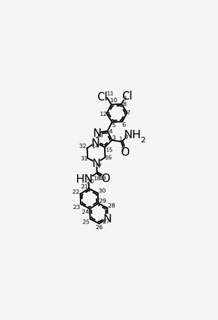 NC(=O)c1c(-c2ccc(Cl)c(Cl)c2)nn2c1CN(C(=O)Nc1ccc3ccncc3c1)CC2